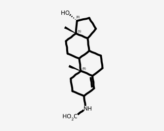 C[C@]12CCC(NC(=O)O)C=C1CCC1C2CC[C@@]2(C)C1CC[C@H]2O